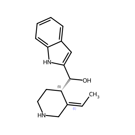 C/C=C1/CNCC[C@@H]1C(O)c1cc2ccccc2[nH]1